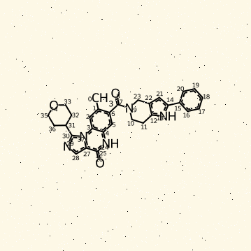 Cc1cc2c(cc1C(=O)N1CCc3[nH]c(-c4ccccc4)cc3C1)[nH]c(=O)c1cnc(C3CCOCC3)n12